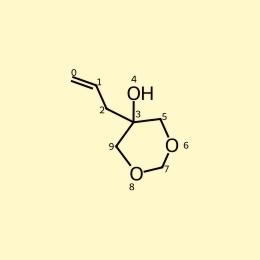 C=CCC1(O)COCOC1